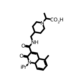 CC1=CC=CC2C1C=C(C(=O)NCC1CCN(C(C)C(=O)O)CC1)C(=O)N2C(C)C